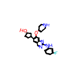 O[C@@H]1CCC(c2cc3cnc(Nc4cccc(F)c4)nc3cc2OC2CCNCC2)C1